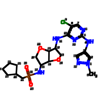 Cn1cc(Nc2ncc(Cl)c(NC3COC4C(NS(=O)(=O)CC5CCCC5)COC34)n2)cn1